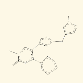 Cn1cc(Cn2cc(-c3cn(C)c(=O)cc3-c3ccccc3)cn2)cn1